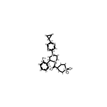 O=C(C1CCS(=O)(=O)CC1)N1CCN(c2cnc(C3CC3)cn2)CC1c1ccccc1F